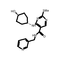 CSc1ncc(C(=O)NCc2cccnc2)c(N[C@H]2CC[C@H](O)CC2)n1